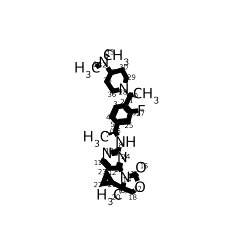 CC(c1ccc([C@H](C)Nc2nccc(N3C(=O)OC[C@]3(C)C3CC3)n2)cc1F)N1CCC(N(C)C)CC1